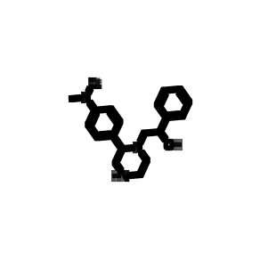 CCN(C)c1ccc(C2CNCCN2CC(O)c2ccccc2)cc1